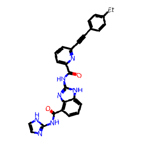 CCc1ccc(C#Cc2cccc(C(=O)Nc3nc4c(C(=O)Nc5ncc[nH]5)cccc4[nH]3)n2)cc1